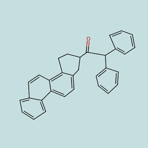 O=C(C1CCc2c(ccc3c2ccc2ccccc23)C1)C(c1ccccc1)c1ccccc1